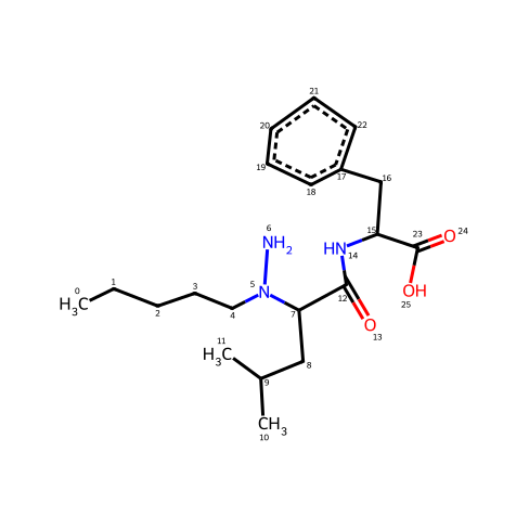 CCCCCN(N)C(CC(C)C)C(=O)NC(Cc1ccccc1)C(=O)O